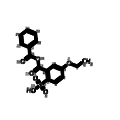 CCOc1ccc(S(=O)(=O)O)c(C(=O)OC(=O)c2ccccc2)c1